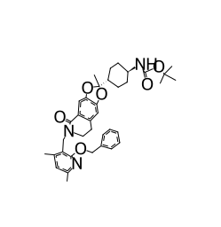 Cc1cc(C)c(CN2CCc3cc4c(cc3C2=O)OC(C)([C@H]2CC[C@H](NC(=O)OC(C)(C)C)CC2)O4)c(OCc2ccccc2)n1